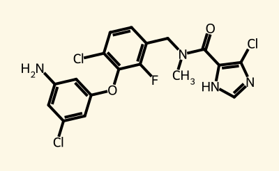 CN(Cc1ccc(Cl)c(Oc2cc(N)cc(Cl)c2)c1F)C(=O)c1[nH]cnc1Cl